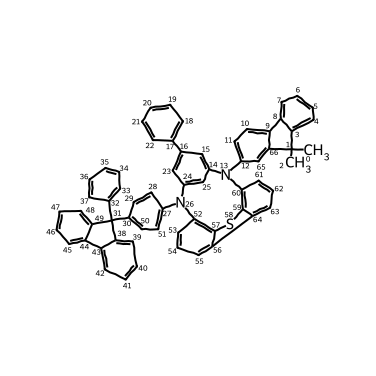 CC1(C)c2ccccc2-c2ccc(N3c4cc(-c5ccccc5)cc(c4)N(c4ccc(C5(c6ccccc6)c6ccccc6-c6ccccc65)cc4)c4cccc5c4sc4c3cccc45)cc21